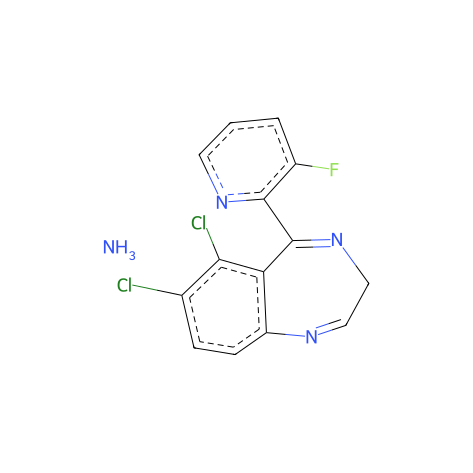 Fc1cccnc1C1=NCC=Nc2ccc(Cl)c(Cl)c21.N